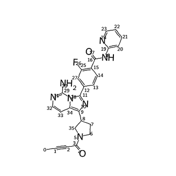 CC#CC(=O)N1CCC(c2nc(-c3ccc(C(=O)Nc4ccccn4)c(F)c3)n3c(N)nccc23)C1